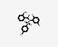 C[CH]Cc1ccccc1[C@@H](C)N(c1cc(F)ccc1F)S(=O)(=O)c1ccc(Cl)cc1